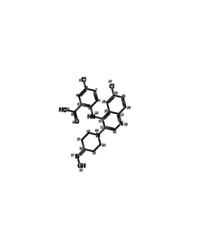 O=C(O)c1cc(Cl)ccc1Nc1c(N2CCC(=NO)CC2)cnc2ccc(Cl)cc12